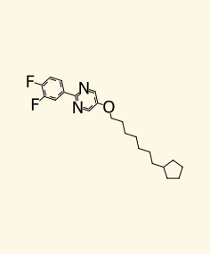 Fc1ccc(-c2ncc(OCCCCCCCC3CCCC3)cn2)cc1F